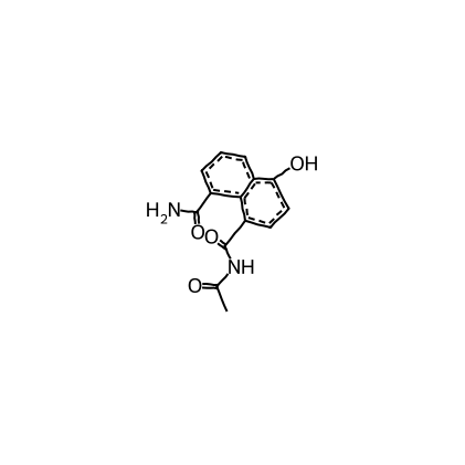 CC(=O)NC(=O)c1ccc(O)c2cccc(C(N)=O)c12